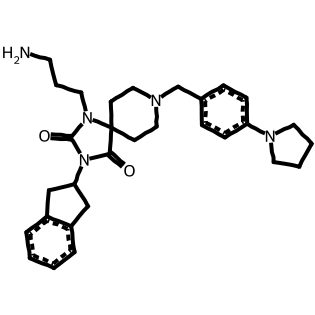 NCCCN1C(=O)N(C2Cc3ccccc3C2)C(=O)C12CCN(Cc1ccc(N3CCCC3)cc1)CC2